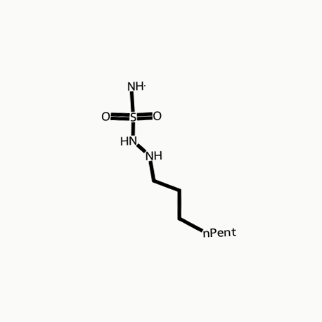 CCCCCCCCNNS([NH])(=O)=O